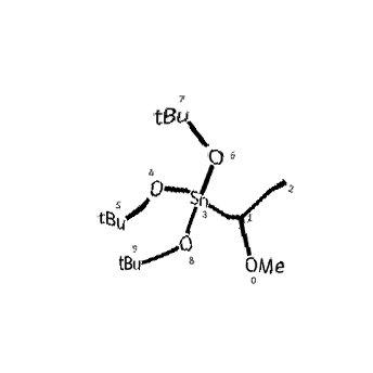 CO[CH](C)[Sn]([O]C(C)(C)C)([O]C(C)(C)C)[O]C(C)(C)C